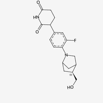 O=C1CCC(c2ccc(N3CC4CC3C[C@@H]4CO)c(F)c2)C(=O)N1